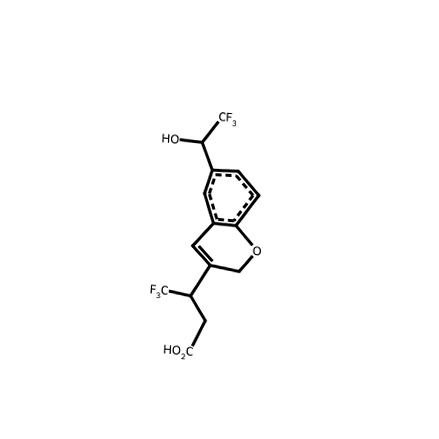 O=C(O)CC(C1=Cc2cc(C(O)C(F)(F)F)ccc2OC1)C(F)(F)F